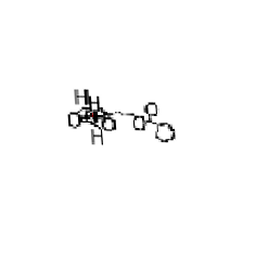 O=C(OCCCC1=C[C@H]2[C@@H]3C=C[C@H]2C(=O)O[C@@H]3O1)c1ccccc1